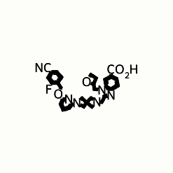 N#Cc1ccc(COc2cccc(N3CC4(CN(Cc5nc6ccc(C(=O)O)cc6n5CC5CCO5)C4)C3)n2)c(F)c1